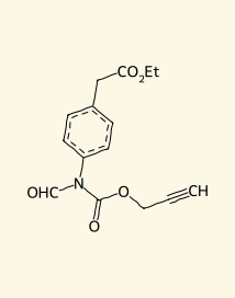 C#CCOC(=O)N(C=O)c1ccc(CC(=O)OCC)cc1